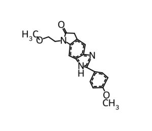 COCCN1C(=O)Cc2cc3nc(-c4ccc(OC)cc4)[nH]c3cc21